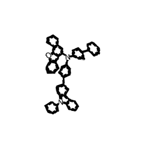 c1ccc(-c2ccc(N(c3ccc(-c4ccc5c(c4)c4ccccc4n5-c4ccccc4)cc3)c3cc4ccccc4c4oc5ccccc5c34)cc2)cc1